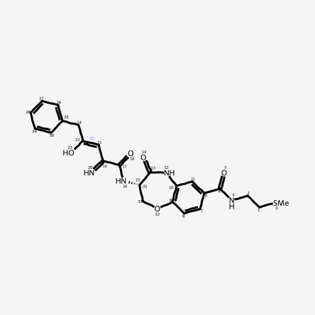 CSCCNC(=O)c1ccc2c(c1)NC(=O)[C@@H](NC(=O)C(=N)/C=C(\O)Cc1ccccc1)CO2